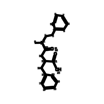 CN(CCc1ccccn1)C(=O)CC(Cc1ccccc1)C(=O)O